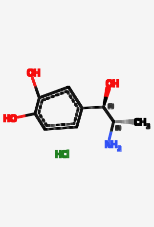 C[C@H](N)[C@H](O)c1ccc(O)c(O)c1.Cl